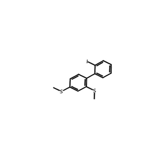 CSc1ccc(-c2ccccc2I)c(SC)c1